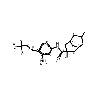 CC1CC2CC(C1)CC(C)(C(=O)Nc1ccc(NCC(C)(C)O)c(N)c1)C2